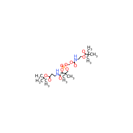 CC(C)(C)OC(=O)CCNC(=O)[C@@H]1OP(=O)(OCOC(=O)NCCOC(=O)C(C)(C)C)OCC1(C)C